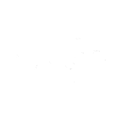 CNCCC[C@@H]1NC(=O)[C@@H](NC)Cc2cc(ccc2O)-c2ccc(O)c(c2)C[C@@H](C(=O)NCC(O)CNC(=O)C[C@@H](N)CCCCN)NC1=O